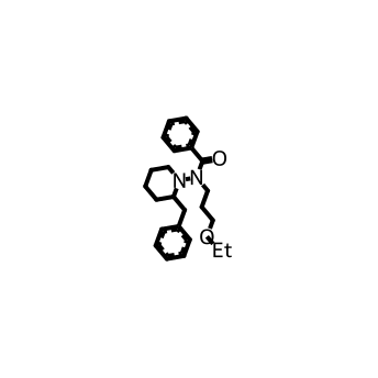 CCOCCCN(C(=O)c1ccccc1)N1CCCCC1Cc1ccccc1